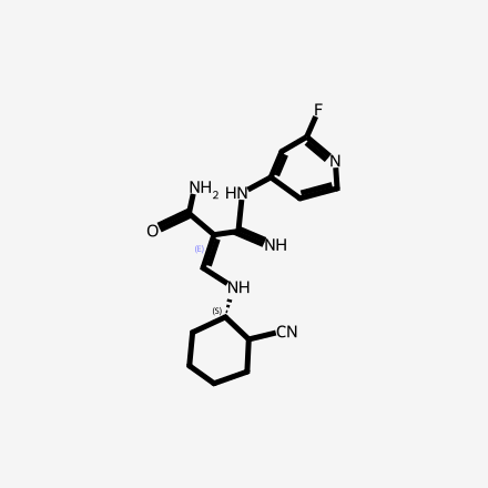 N#CC1CCCC[C@@H]1N/C=C(\C(=N)Nc1ccnc(F)c1)C(N)=O